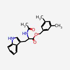 CC(=O)NC(Cc1c[nH]c2ccccc12)C(=O)OCc1cc(C)cc(C)c1